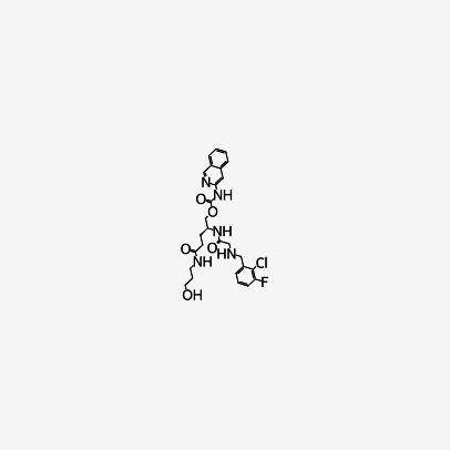 O=C(CC[C@@H](COC(=O)Nc1cc2ccccc2cn1)NC(=O)CNCc1cccc(F)c1Cl)NCCCO